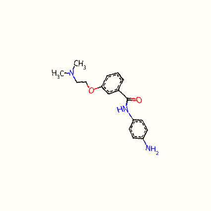 CN(C)CCOc1cccc(C(=O)Nc2ccc(N)cc2)c1